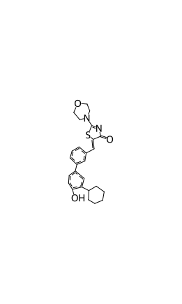 O=C1N=C(N2CCOCC2)SC1=Cc1cccc(-c2ccc(O)c(C3CCCCC3)c2)c1